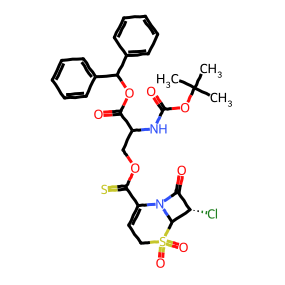 CC(C)(C)OC(=O)NC(COC(=S)C1=CCS(=O)(=O)C2[C@@H](Cl)C(=O)N12)C(=O)OC(c1ccccc1)c1ccccc1